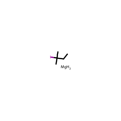 CCC(C)(C)I.[MgH2]